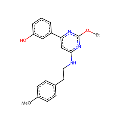 CCOc1nc(NCCc2ccc(OC)cc2)cc(-c2cccc(O)c2)n1